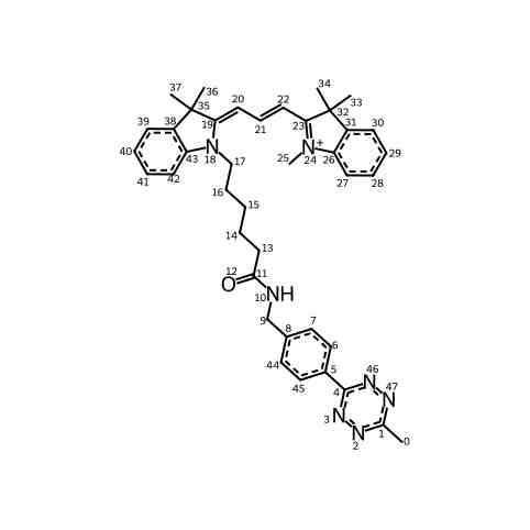 Cc1nnc(-c2ccc(CNC(=O)CCCCCN3C(=CC=CC4=[N+](C)c5ccccc5C4(C)C)C(C)(C)c4ccccc43)cc2)nn1